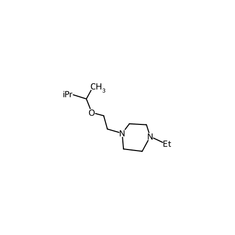 CCN1CCN(CCOC(C)C(C)C)CC1